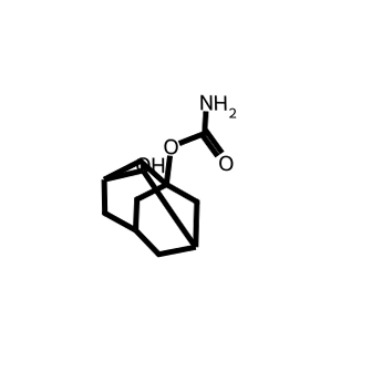 NC(=O)OC12CC3CC(C1)C(O)C(C3)C2